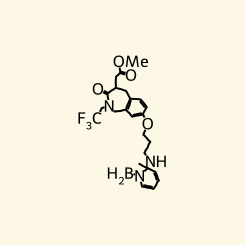 BN1C=CC=CC1(C)NCCCOc1ccc2c(c1)CN(CC(F)(F)F)C(=O)C(CC(=O)OC)C2